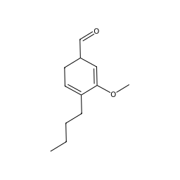 CCCCC1=CCC(C=O)C=C1OC